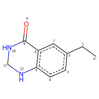 CCc1ccc2c(c1)C(=O)NCN2